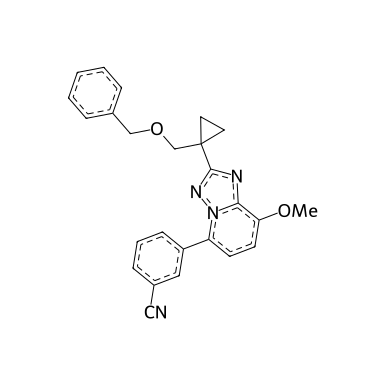 COc1ccc(-c2cccc(C#N)c2)n2nc(C3(COCc4ccccc4)CC3)nc12